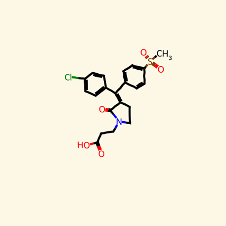 CS(=O)(=O)c1ccc(/C(=C2\CCN(CCC(=O)O)C2=O)c2ccc(Cl)cc2)cc1